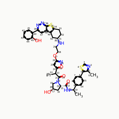 Cc1ncsc1-c1ccc(C(C)NC(=O)[C@@H]2C[C@@H](O)CN2C(=O)C(c2cc(OCCN[C@@H]3CCc4sc5nnc(-c6ccccc6O)cc5c4C3)no2)C(C)C)cc1